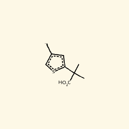 [CH2]c1csc(C(C)(C)C(=O)O)c1